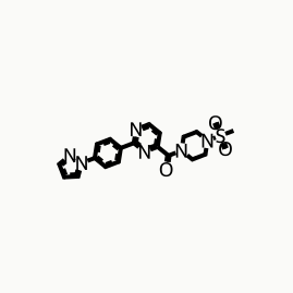 CS(=O)(=O)N1CCN(C(=O)c2ccnc(-c3ccc(-n4cccn4)cc3)n2)CC1